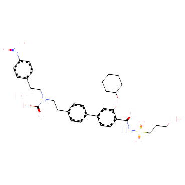 O=C(NS(=O)(=O)CCCO)c1ccc(-c2ccc(CCN(C[C@H](O)c3ccc([N+](=O)[O-])cc3)C(=O)O)cc2)cc1OC1CCCCC1